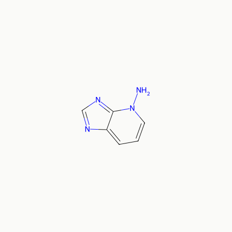 Nn1cccc2ncnc1-2